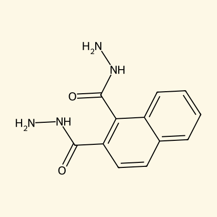 NNC(=O)c1ccc2ccccc2c1C(=O)NN